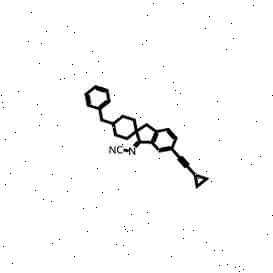 N#C/N=C1/c2cc(C#CC3CC3)ccc2CC12CCC(Cc1ccccc1)CC2